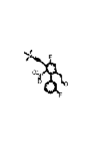 C[Si](C)(C)C#Cc1c(F)cc(CC=O)c(-c2cccc(F)c2)c1[N+](=O)[O-]